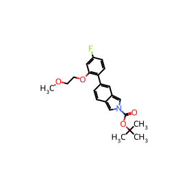 COCCOc1cc(F)ccc1-c1ccc2cn(C(=O)OC(C)(C)C)cc2c1